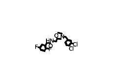 O=C(Cc1cc(F)ccc1F)NCC1CN(Cc2ccc(Cl)c(Cl)c2)CCO1